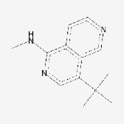 CNc1ncc(C(C)(C)C)c2cnccc12